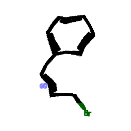 BrC/C=C\c1ccccc1